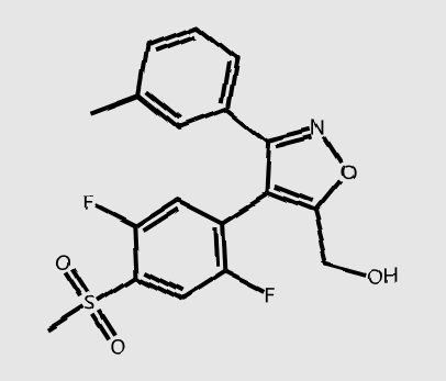 Cc1cccc(-c2noc(CO)c2-c2cc(F)c(S(C)(=O)=O)cc2F)c1